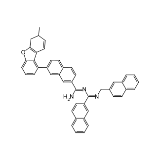 CC1C=Cc2c(oc3cccc(-c4ccc5ccc(/C(N)=N/C(=N\Cc6ccc7ccccc7c6)c6ccc7ccccc7c6)cc5c4)c23)C1